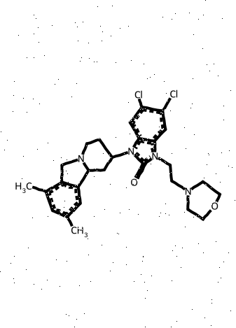 Cc1cc(C)c2c(c1)C1CC(n3c(=O)n(CCN4CCOCC4)c4cc(Cl)c(Cl)cc43)CCN1C2